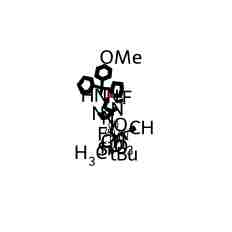 C#C[C@]1(CO)O[C@@H](n2cnc3c(NC(c4ccccc4)(c4ccccc4)c4ccc(OC)cc4)nc(F)nc32)[C@@H](F)[C@@H]1O[Si](C)(C)C(C)(C)C